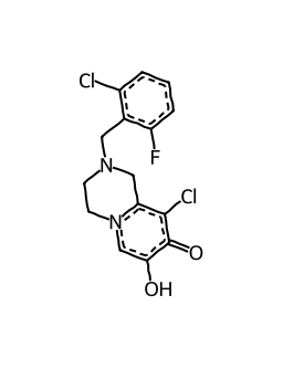 O=c1c(O)cn2c(c1Cl)CN(Cc1c(F)cccc1Cl)CC2